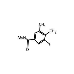 CNC(=O)c1cc(C)c(C)c(F)c1